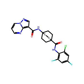 O=C(NC12CCC(C(=O)Nc3c(F)cc(F)cc3Cl)(CC1)CC2)c1cnn2cccnc12